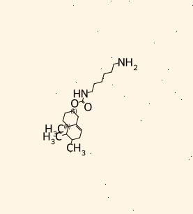 CC1CC=C2C[C@@H](OC(=O)NCCCCCCN)CC[C@]2(C)C1C